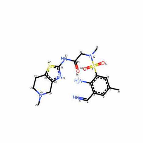 Cc1cc(C=N)c(N)c(S(=O)(=O)N(C)CC(=O)Nc2nc3c(s2)CCN(C)C3)c1